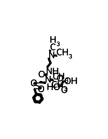 CCN(CC)CCCNC(=O)N(CCS(=O)(=O)Cc1ccccc1)C(C)C.O=C(O)C(=O)O